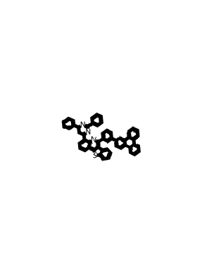 c1ccc(C2=NC(c3ccccc3)CC(c3cccc4c3nc(-c3cccc(-c5ccc6c7ccccc7c7ccccc7c6c5)c3)c3c5ccccc5sc43)=N2)cc1